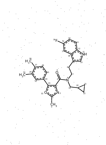 Cc1nc(C(=O)N(CCc2c[nH]c3ccc(F)cc23)CC2CC2)c(-c2ccc(C)c(C)c2)o1